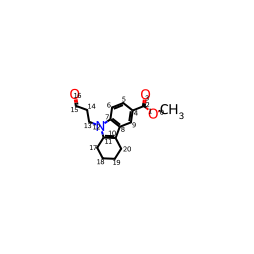 COC(=O)c1ccc2c(c1)c1c(n2CCC=O)CCCC1